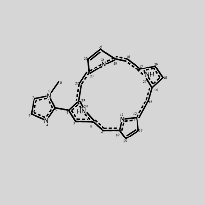 Cn1ccnc1-c1cc2cc3nc(cc4ccc(cc5nc(cc1[nH]2)C=C5)[nH]4)C=C3